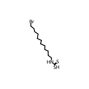 S=C(S)NCCCCCCCCCCCCBr